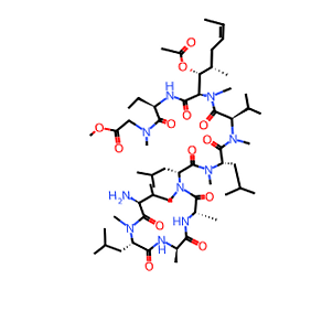 C/C=C\C[C@H](C)[C@@H](OC(C)=O)[C@H](C(=O)N[C@H](CC)C(=O)N(C)CC(=O)OC)N(C)C(=O)[C@@H](C(C)C)N(C)C(=O)[C@H](CC(C)C)N(C)C(=O)[C@@H](CC(C)C)N(C)C(=O)[C@H](C)NC(=O)[C@@H](C)NC(=O)[C@H](CC(C)C)N(C)C(=O)[C@@H](N)C(C)C